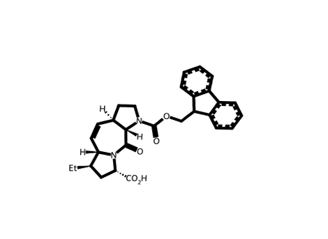 CC[C@@H]1C[C@@H](C(=O)O)N2C(=O)[C@@H]3[C@@H](C=C[C@@H]12)CCN3C(=O)OCC1c2ccccc2-c2ccccc21